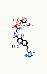 Cc1noc(C)c1S(=O)(=O)NC(CNC(=O)c1cn(C)c2cc(CNC3NCCN3)ccc2c1=O)C(=O)O